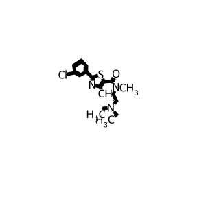 CCN(CC)CCN(C)C(=O)c1sc(-c2cccc(Cl)c2)nc1C